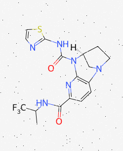 CC(NC(=O)c1ccc2c(n1)N(C(=O)Nc1nccs1)[C@H]1CCN2C1)C(F)(F)F